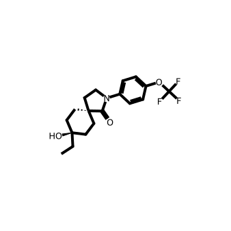 CC[C@]1(O)CC[C@@]2(CCN(c3ccc(OC(F)(F)F)cc3)C2=O)CC1